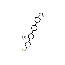 CC1=CC(C2CCC(C3CCC(C)CC3)CC2)CCC1C1CCC(CF)CC1